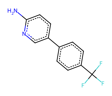 Nc1ccc(-c2ccc(C(F)(F)F)cc2)cn1